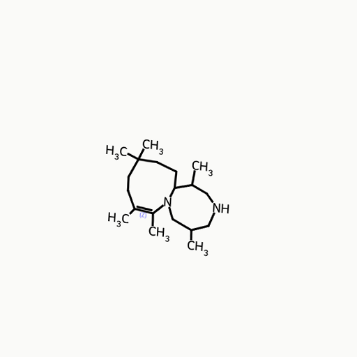 C/C1=C(\C)N2CC(C)CNCC(C)C2CCC(C)(C)CC1